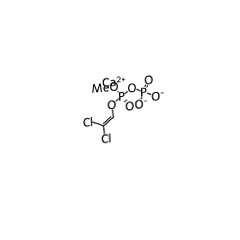 COP(=O)(OC=C(Cl)Cl)OP(=O)([O-])[O-].[Ca+2]